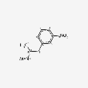 CN[C@H](C)Cc1cccc([N+](=O)[O-])c1